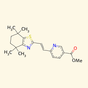 COC(=O)c1ccc(C=Cc2nc3c(s2)C(C)(C)CCC3(C)C)nc1